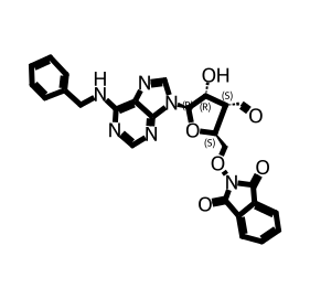 O=C[C@H]1[C@@H](O)[C@H](n2cnc3c(NCc4ccccc4)ncnc32)O[C@@H]1CON1C(=O)c2ccccc2C1=O